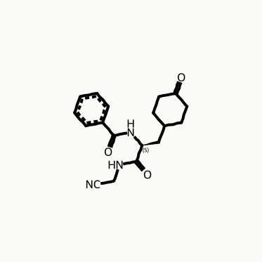 N#CCNC(=O)[C@H](CC1CCC(=O)CC1)NC(=O)c1ccccc1